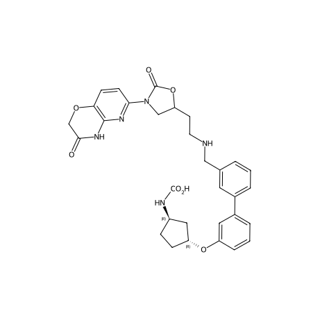 O=C(O)N[C@@H]1CC[C@@H](Oc2cccc(-c3cccc(CNCCC4CN(c5ccc6c(n5)NC(=O)CO6)C(=O)O4)c3)c2)C1